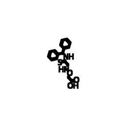 O=C(O)CONCC(=S)NC(c1ccccc1)c1ccccc1